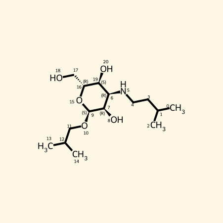 CC(C)CCN[C@H]1[C@@H](O)[C@@H](OCC(C)C)O[C@H](CO)[C@H]1O